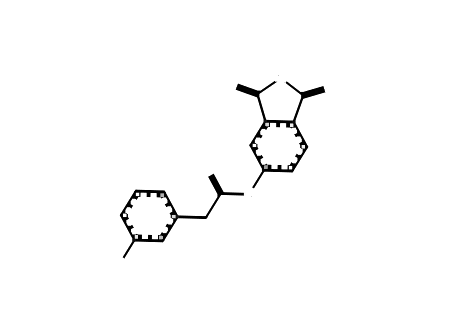 O=C(Cc1cccc(F)c1)Nc1ccc2c(c1)C(=O)NC2=O